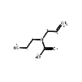 C=CCN(CCO)C(=O)O